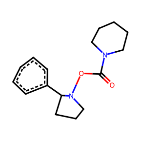 O=C(ON1CCCC1c1ccccc1)N1CCCCC1